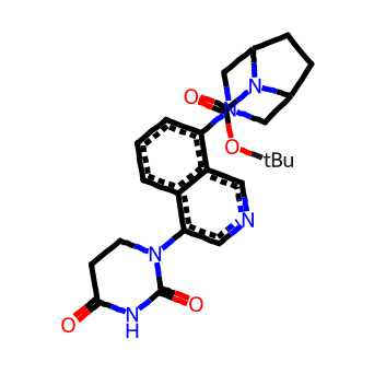 CC(C)(C)OC(=O)N1C2CCC1CN(c1cccc3c(N4CCC(=O)NC4=O)cncc13)C2